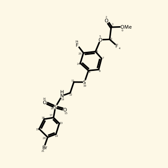 COC(=O)C(F)Oc1ccc(SCCNS(=O)(=O)c2ccc(Br)cc2)cc1F